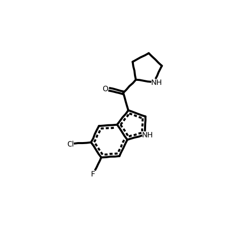 O=C(c1c[nH]c2cc(F)c(Cl)cc12)C1CCCN1